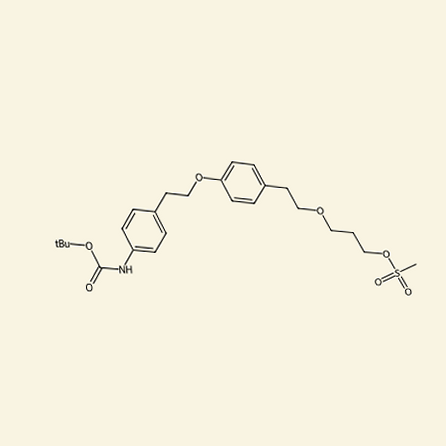 CC(C)(C)OC(=O)Nc1ccc(CCOc2ccc(CCOCCCOS(C)(=O)=O)cc2)cc1